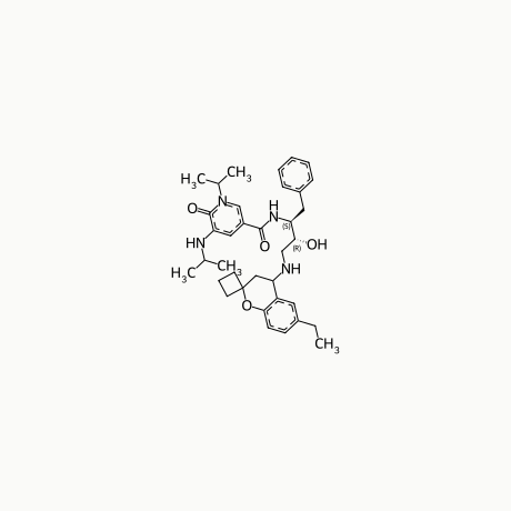 CCc1ccc2c(c1)C(NC[C@@H](O)[C@H](Cc1ccccc1)NC(=O)c1cc(NC(C)C)c(=O)n(C(C)C)c1)CC1(CCC1)O2